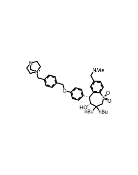 CCCCC1(CCCC)CS(=O)(=O)c2ccc(CNC)cc2[C@@H](c2ccc(OCc3ccc(C[N+]45CCN(CC4)C5)cc3)cc2)[C@H]1O